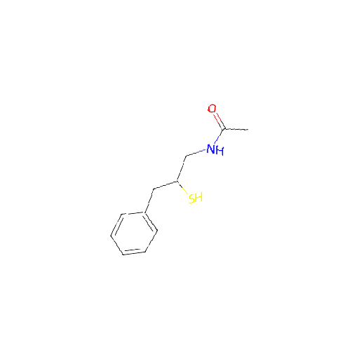 CC(=O)NCC(S)Cc1ccccc1